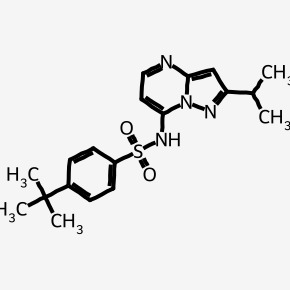 CC(C)c1cc2nccc(NS(=O)(=O)c3ccc(C(C)(C)C)cc3)n2n1